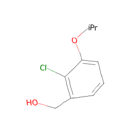 CC(C)Oc1cccc(CO)c1Cl